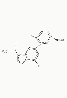 CC(=O)Nc1cc(-c2cc(F)c3ncn(C(C)C(F)(F)F)c3c2)c(C)cn1